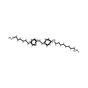 CCCCCCCCCOc1ccc(CCc2ccc(CCCCCCC)cn2)cc1